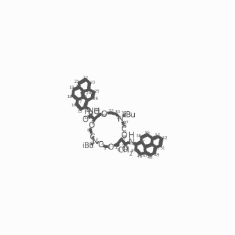 C=C1OCCN(C(C)CC)CCOC(C(=O)Nc2ccc3ccc4cccc5ccc2c3c45)C(=C)OCCN(C(C)CC)CCOC1C(=O)Nc1ccc2ccc3cccc4ccc1c2c34